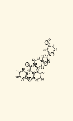 COc1cccc(C2=NOC3(CCN(C(=O)C4c5ccccc5Oc5ccccc54)CC3)C2)c1